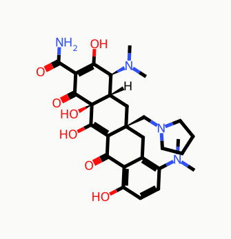 CN(C)c1ccc(O)c2c1C[C@@]1(CN3CCCC3)C[C@H]3[C@H](N(C)C)C(O)=C(C(N)=O)C(=O)[C@@]3(O)C(O)=C1C2=O